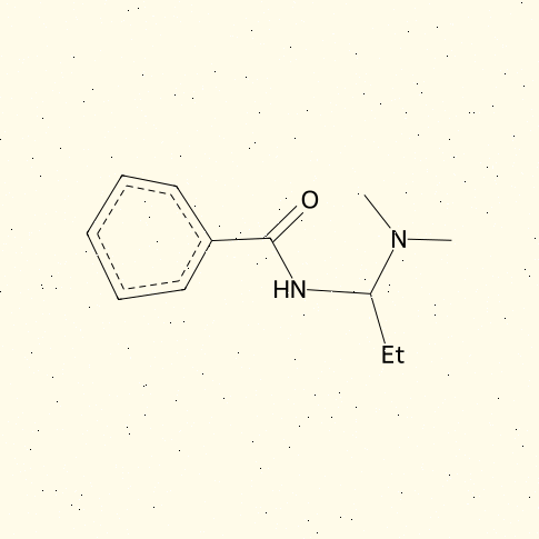 [CH2]CC(NC(=O)c1ccccc1)N(C)C